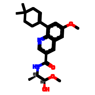 COc1cc(C2=CCC(C)(C)CC2)c2ncc(C(=O)N[C@@H](C)[C@@H](O)OC)cc2c1